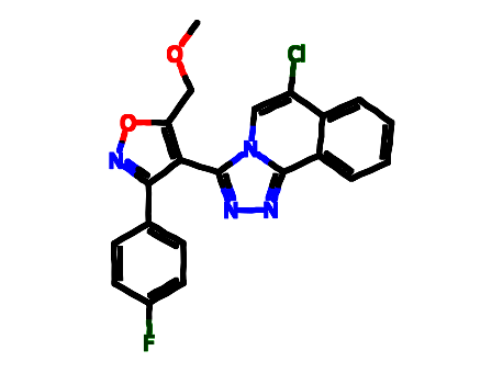 COCc1onc(-c2ccc(F)cc2)c1-c1nnc2c3ccccc3c(Cl)cn12